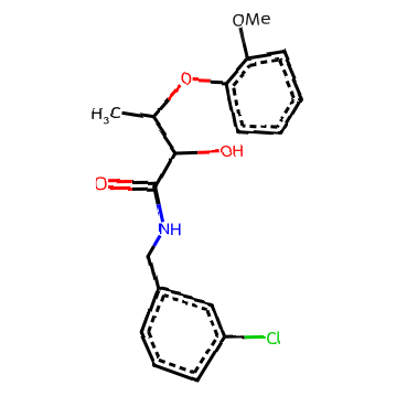 COc1ccccc1OC(C)C(O)C(=O)NCc1cccc(Cl)c1